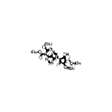 C=C1[C@@H](n2cnc3c(N(C(=O)OC(C)(C)C)C(=O)OC(C)(C)C)ncnc32)C(F)C(OC(C)(C)C)[C@H]1COC(C)(C)C